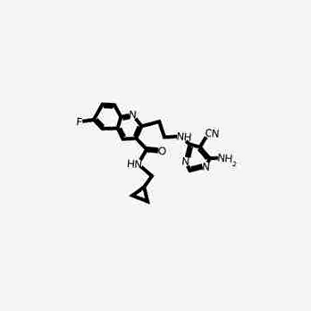 N#Cc1c(N)ncnc1NCCc1nc2ccc(F)cc2cc1C(=O)NCC1CC1